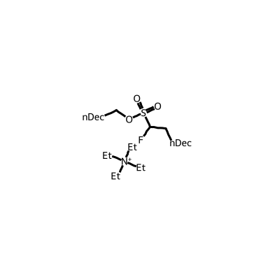 CCCCCCCCCCCOS(=O)(=O)C(F)CCCCCCCCCCC.CC[N+](CC)(CC)CC